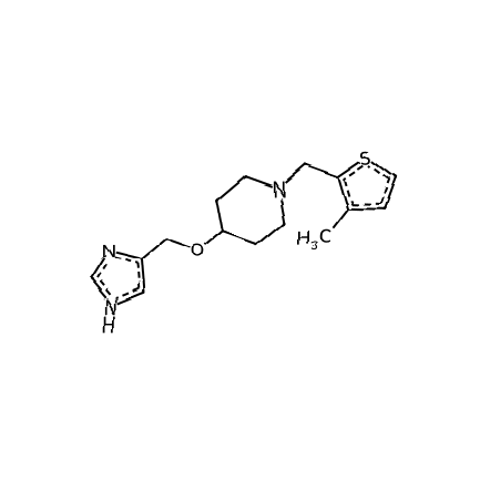 Cc1ccsc1CN1CCC(OCc2c[nH]cn2)CC1